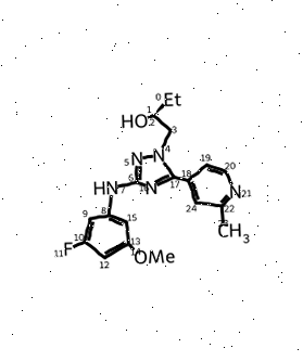 CC[C@H](O)Cn1nc(Nc2cc(F)cc(OC)c2)nc1-c1ccnc(C)c1